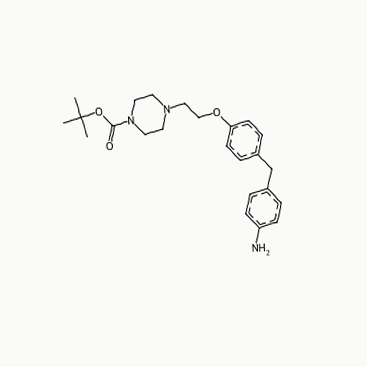 CC(C)(C)OC(=O)N1CCN(CCOc2ccc(Cc3ccc(N)cc3)cc2)CC1